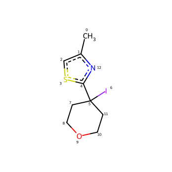 Cc1csc(C2(I)CCOCC2)n1